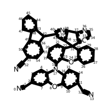 N#Cc1ccc2c(c1)Oc1cc(C#N)ccc1N2c1cccc2c1Oc1ccccc1C21c2cccnc2-c2ncc(C3c4ccccc4-c4cc(C#N)ccc43)cc21